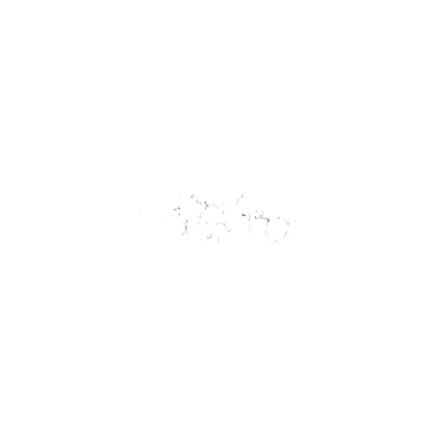 COCCN1CN(C)n2cc(C(=O)NNc3ccccc3)c(=O)c(O)c2C1=O